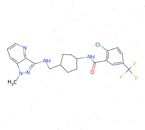 Cn1nc(NCC2CCC(NC(=O)c3cc(C(F)(F)F)ccc3Cl)CC2)c2ncccc21